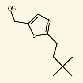 CC(C)(C)CCc1ncc(CO)s1